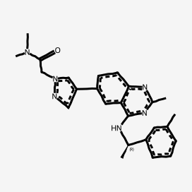 Cc1cccc([C@@H](C)Nc2nc(C)nc3ccc(-c4cnn(CC(=O)N(C)C)c4)cc23)c1